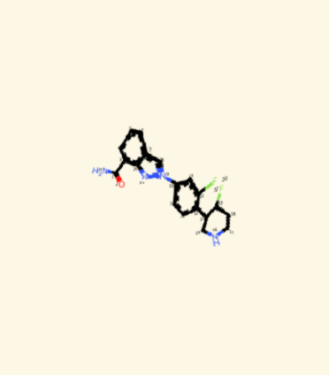 NC(=O)c1cccc2cn(-c3ccc(C4CNCCC4F)c(F)c3)nc12